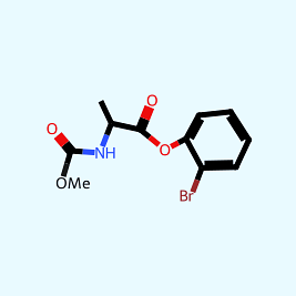 COC(=O)NC(C)C(=O)Oc1ccccc1Br